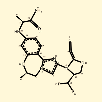 C[C@@H]1Cn2cc(N3C(=C=O)OC[C@H]3C(F)F)nc2-c2ccc(N[C@@H](C)C(N)=O)cc2O1